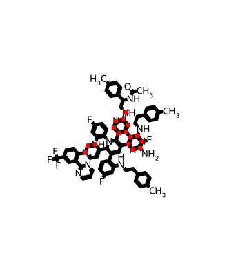 CC(=O)NC(CNc1cc(-c2cc(F)ccc2C2=C(c3ccc(F)cc3-c3cnc(N)nc3NCCc3ccc(C)cc3)N(c3ccc(F)cc3NCCc3ccc(C(F)(F)F)cc3-c3ncccn3)C(c3ccncc3)C(c3ccc(F)cc3NCCc3ccc(C)cc3)=[C]2)ccn1)c1ccc(C)cc1